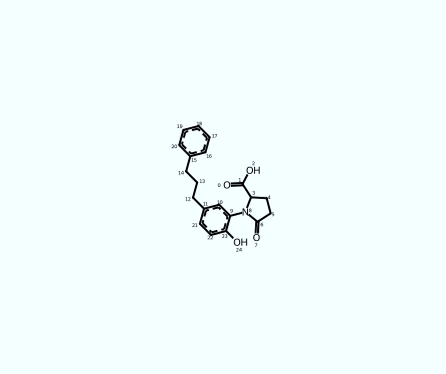 O=C(O)C1CCC(=O)N1c1cc(CCCc2ccccc2)ccc1O